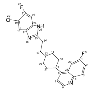 Fc1ccc2nccc(C3CCC(CCc4nc5cc(Cl)c(F)cc5[nH]4)CC3)c2c1